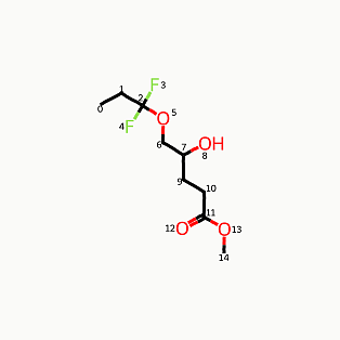 CCC(F)(F)OCC(O)CCC(=O)OC